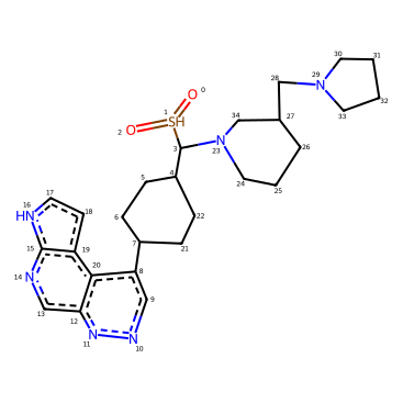 O=[SH](=O)C(C1CCC(c2cnnc3cnc4[nH]ccc4c23)CC1)N1CCCC(CN2CCCC2)C1